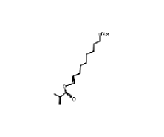 C=C(C)C(=O)OC=CCCCCCCCCCCCCCCCC